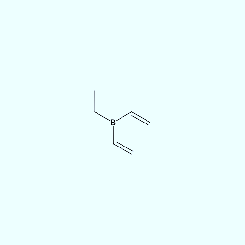 C=CB(C=C)C=C